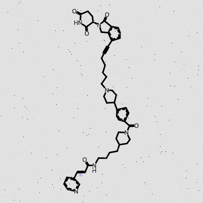 O=C(/C=C/c1cccnc1)NCCCCC1CCN(C(=O)c2ccc(C3CCN(CCCCCC#Cc4cccc5c4CN(C4CCC(=O)NC4=O)C5=O)CC3)cc2)CC1